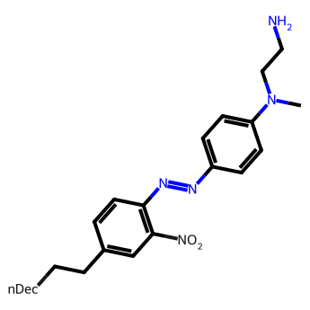 CCCCCCCCCCCCc1ccc(N=Nc2ccc(N(C)CCN)cc2)c([N+](=O)[O-])c1